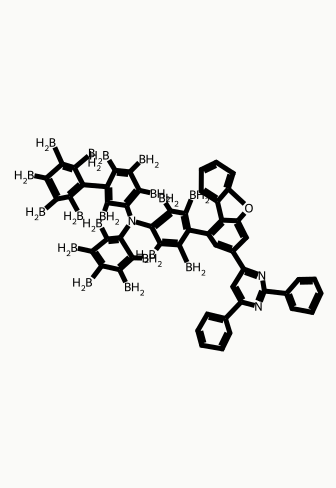 Bc1c(B)c(B)c(-c2c(B)c(B)c(B)c(N(c3c(B)c(B)c(B)c(B)c3B)c3c(B)c(B)c(-c4cc(-c5cc(-c6ccccc6)nc(-c6ccccc6)n5)cc5oc6ccccc6c45)c(B)c3B)c2B)c(B)c1B